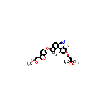 COC(=O)CC1COc2cc(O[C@@H]3CCc4c3ccc(C#N)c4-c3c(C)cc(OCCC(C)(C)O)cc3C)ccc21